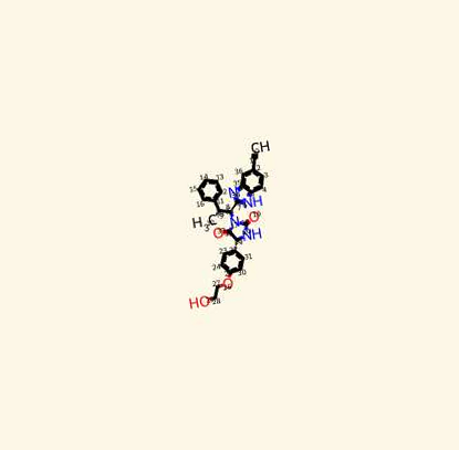 C#Cc1ccc2[nH]c([C@H]([C@H](C)c3ccccc3)N3C(=O)N[C@H](c4ccc(OCCO)cc4)C3=O)nc2c1